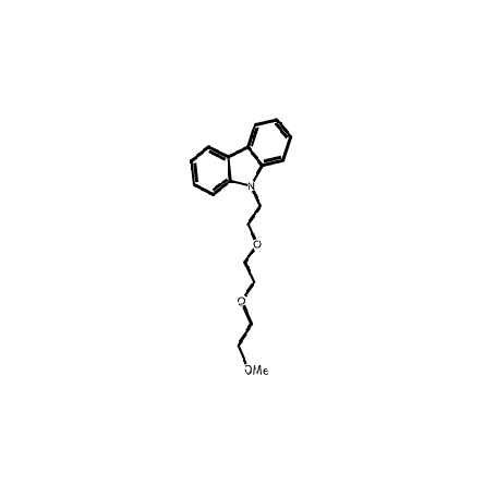 COCCOCCOCCn1c2ccccc2c2ccccc21